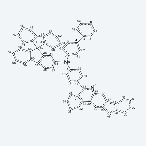 c1ccc(-c2ccc(N(c3ccc(-c4nc5cc6c(cc5c5ccccc45)oc4ccccc46)cc3)c3ccc4c(c3)C(c3ccccc3)(c3ccccc3)c3ccccc3-4)cc2)cc1